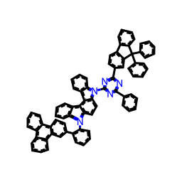 c1ccc(-c2nc(-c3ccc4c(c3)C(c3ccccc3)(c3ccccc3)c3ccccc3-4)nc(-n3c4ccccc4c4c5c6ccccc6n(-c6ccccc6-c6ccc7c8ccccc8c8ccccc8c7c6)c5ccc43)n2)cc1